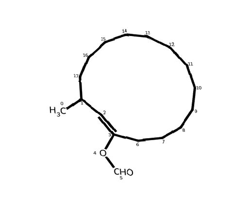 CC1/C=C(\OC=O)CCCCCCCCCCCC1